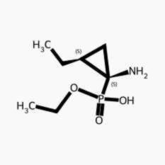 CCOP(=O)(O)[C@@]1(N)C[C@@H]1CC